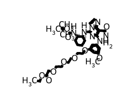 CCOC(=O)COCCOCCOCCOc1cc(Nc2nc(N[C@H]3CCCC[C@H]3NC(=O)OC(C)(C)C)n3ccnc3c2C(N)=O)cc(OC)c1